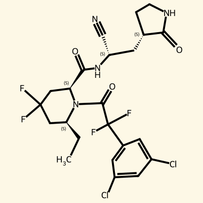 CC[C@H]1CC(F)(F)C[C@@H](C(=O)N[C@H](C#N)C[C@@H]2CCNC2=O)N1C(=O)C(F)(F)c1cc(Cl)cc(Cl)c1